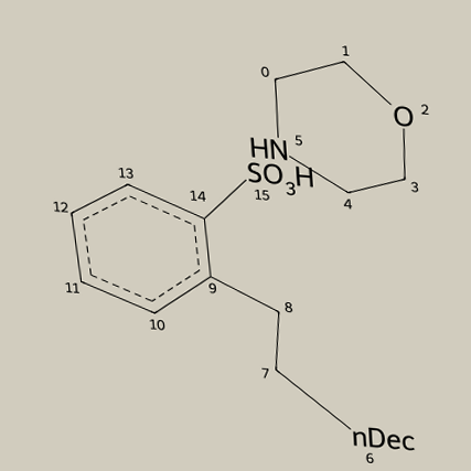 C1COCCN1.CCCCCCCCCCCCc1ccccc1S(=O)(=O)O